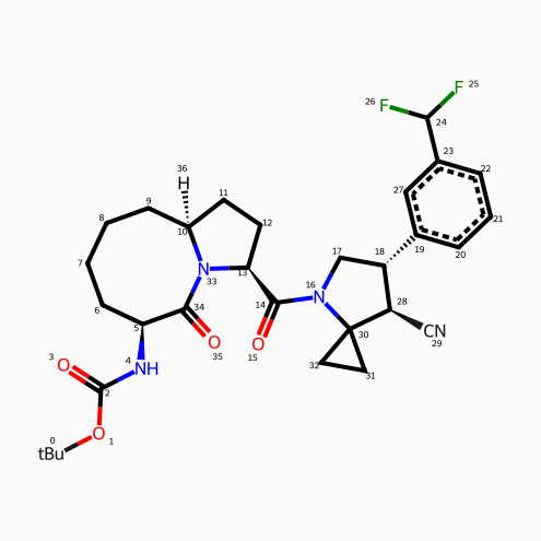 CC(C)(C)OC(=O)N[C@H]1CCCC[C@H]2CC[C@@H](C(=O)N3C[C@H](c4cccc(C(F)F)c4)[C@@H](C#N)C34CC4)N2C1=O